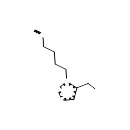 C=NCCCCn1nncc1CC